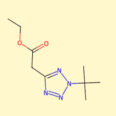 CCOC(=O)Cc1nnn(C(C)(C)C)n1